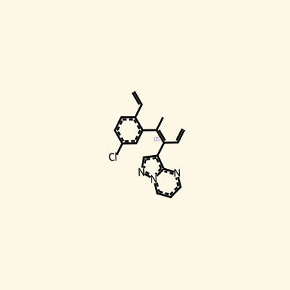 C=C/C(=C(\C)c1cc(Cl)ccc1C=C)c1cnn2cccnc12